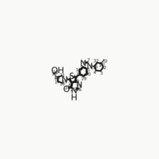 C[C@H]1CCC[C@H](n2cnc3cc(-c4sc(N5CC[C@H](CO)C5)c5c(=O)[nH]cnc45)ccc32)C1